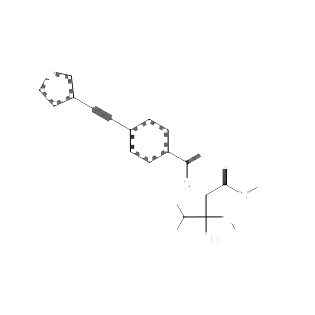 COC(C)(C(F)F)[C@H](NC(=O)c1ccc(C#Cc2ccoc2)cc1)C(=O)NO